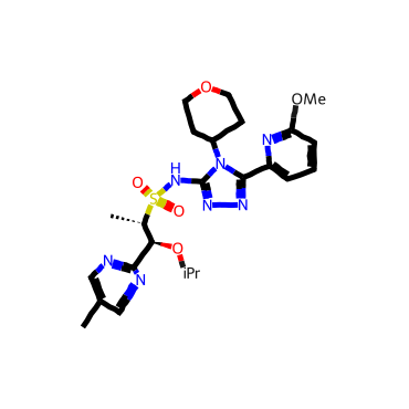 COc1cccc(-c2nnc(NS(=O)(=O)[C@@H](C)[C@@H](OC(C)C)c3ncc(C)cn3)n2C2CCOCC2)n1